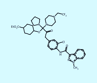 CCOC(=O)C1CCC(OC(C(=O)Cc2ccc(NC(=O)c3nn(C)c4ccccc34)c(Cl)c2)(N2CCCC2)N2CCN(CC(F)(F)F)CC2)CC1